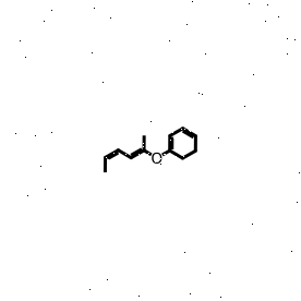 C/C=C\C=C(/C)OC1=CC=CCC1